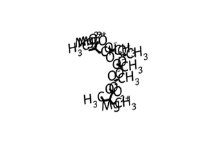 CC(=O)[O-].CC(=O)[O-].CC(=O)[O-].CC(=O)[O-].CCC(CC)C(=O)[O-].CCC(CC)C(=O)[O-].[Mg+2].[Mg+2].[Mg+2]